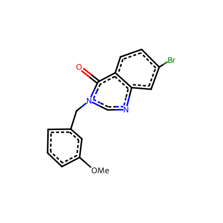 COc1cccc(Cn2cnc3cc(Br)ccc3c2=O)c1